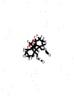 O=C=NCC1(C(F)(C(F)(F)C(F)(F)F)C2(CN=C=O)C(F)(F)C(F)(F)C(F)(F)C(F)(F)C2(F)F)C(F)(F)C(F)(F)C(F)(F)C(F)(F)C1(F)F